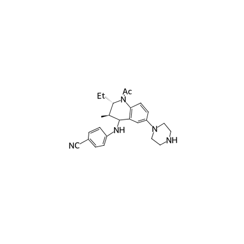 CC[C@H]1[C@H](C)C(Nc2ccc(C#N)cc2)c2cc(N3CCNCC3)ccc2N1C(C)=O